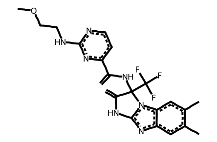 C=C(NC1(C(F)(F)F)C(=C)Nc2nc3cc(C)c(C)cc3n21)c1ccnc(NCCOC)n1